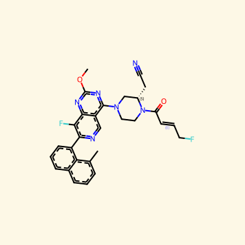 COc1nc(N2CCN(C(=O)/C=C/CF)[C@@H](CC#N)C2)c2cnc(-c3cccc4cccc(C)c34)c(F)c2n1